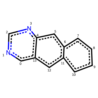 [c]1ncnc2cc3ccccc3cc12